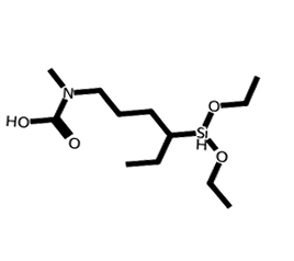 CCO[SiH](OCC)C(CC)CCCN(C)C(=O)O